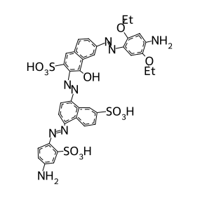 CCOc1cc(N=Nc2ccc3cc(S(=O)(=O)O)c(N=Nc4ccc(N=Nc5ccc(N)cc5S(=O)(=O)O)c5ccc(S(=O)(=O)O)cc45)c(O)c3c2)c(OCC)cc1N